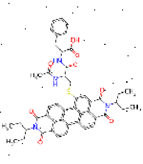 CCC(CC)N1C(=O)c2ccc3c4ccc5c6c(cc(SCC(NC(C)=O)C(=O)NC(Cc7ccccc7)C(=O)O)c(c7ccc(c2c37)C1=O)c64)C(=O)N(C(CC)CC)C5=O